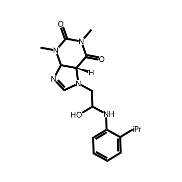 CC(C)c1ccccc1NC(O)CN1C=NC2[C@@H]1C(=O)N(C)C(=O)N2C